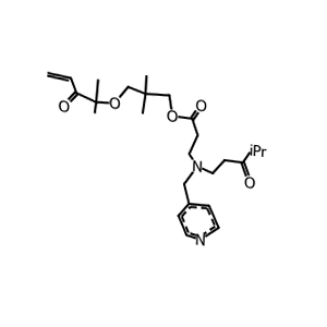 C=CC(=O)C(C)(C)OCC(C)(C)COC(=O)CCN(CCC(=O)C(C)C)Cc1ccncc1